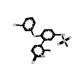 Cc1[nH]c(=O)ccc1-c1cc(NS(C)(=O)=O)ccc1Oc1cccc(Cl)c1